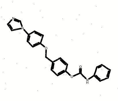 O=C(Nc1ccccc1)Oc1ccc(COc2ccc(-n3ccnc3)cc2)cc1